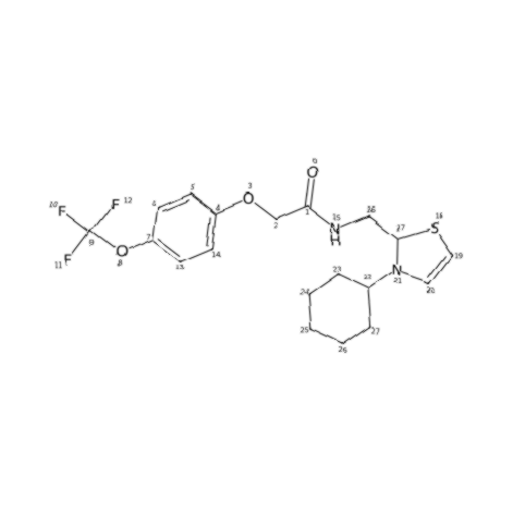 O=C(COc1ccc(OC(F)(F)F)cc1)NCC1SC=CN1C1CCCCC1